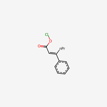 CCCC(=CC(=O)OCl)c1ccccc1